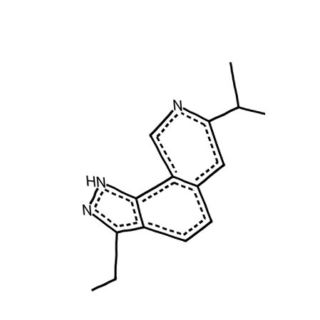 CCc1n[nH]c2c1ccc1cc(C(C)C)ncc12